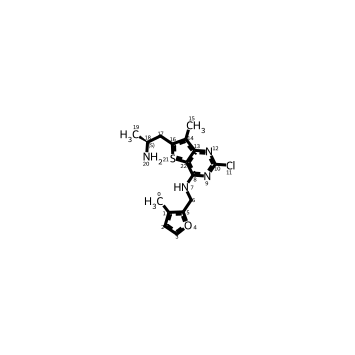 Cc1ccoc1CNc1nc(Cl)nc2c(C)c(C[C@H](C)N)sc12